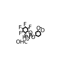 O=CCNP(Oc1ccc2c(c1)OCO2)Oc1c(F)c(F)c(F)c(F)c1F